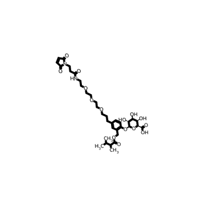 CC(C)C(C)C(=O)OCc1cc(CCCOCCOCCOCCNC(=O)CCN2C(=O)C=CC2=O)ccc1O[C@@H]1O[C@H](C(=O)O)[C@@H](O)[C@H](O)[C@H]1O